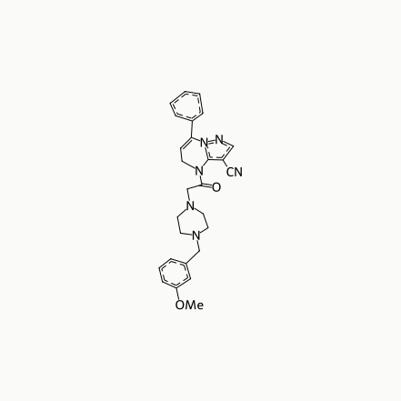 COc1cccc(CN2CCN(CC(=O)N3CC=C(c4ccccc4)n4ncc(C#N)c43)CC2)c1